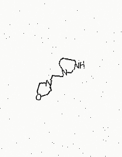 C1CNCN(CCN2CCOCC2)C1